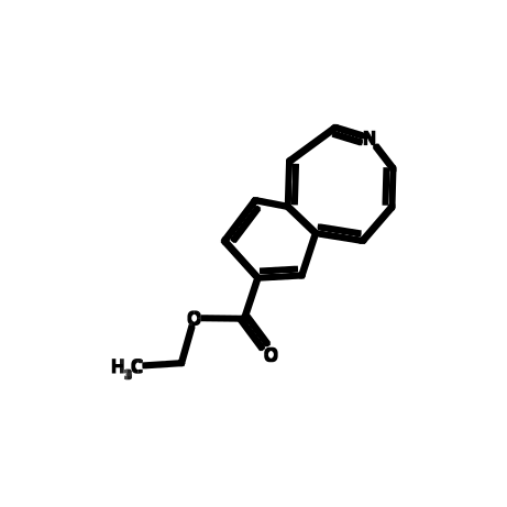 CCOC(=O)c1ccc2c(c1)=CC=CN=CC=2